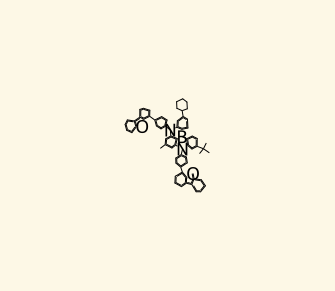 Cc1cc2c3c(c1)N(c1ccc(-c4cccc5c4oc4ccccc45)cc1)c1cc(C(C)(C)C)ccc1B3c1ccc(C3CCCCC3)cc1N2c1ccc(-c2cccc3c2oc2ccccc23)cc1